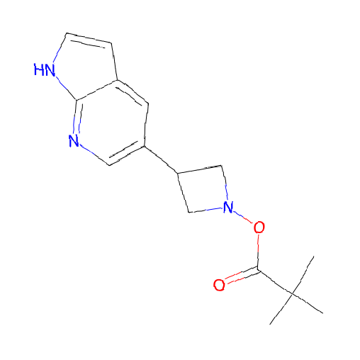 CC(C)(C)C(=O)ON1CC(c2cnc3[nH]ccc3c2)C1